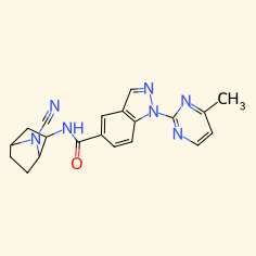 Cc1ccnc(-n2ncc3cc(C(=O)NC4CC5CCC4N5C#N)ccc32)n1